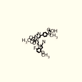 COc1ccc(F)c2c1cc(C#N)n2CCN(C(=O)OC(C)(C)C)c1cc(-c2ccc(N(C)C(=O)O)cc2)ncn1